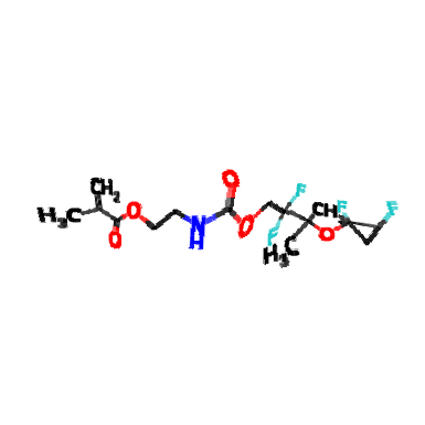 C=C(C)C(=O)OCCNC(=O)OCC(F)(F)C(C)(C)OC1(F)CC1F